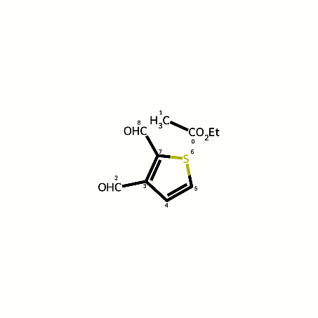 CCOC(C)=O.O=Cc1ccsc1C=O